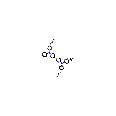 CCCCc1ccc(N(c2ccccc2)c2ccc(-c3ccc(N(c4ccc(CCCC)cc4)c4ccc(C(C)(C)C)cc4)cc3)cc2)cc1